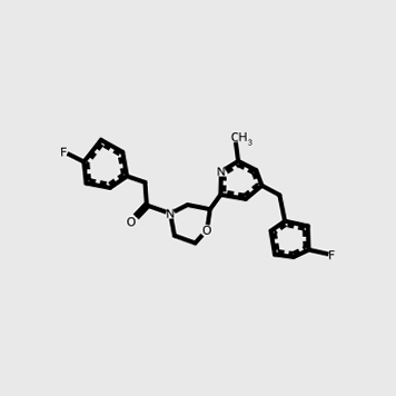 Cc1cc(Cc2cccc(F)c2)cc(C2CN(C(=O)Cc3ccc(F)cc3)CCO2)n1